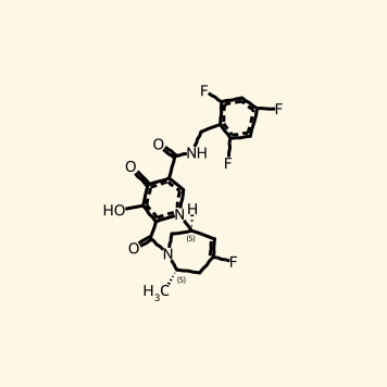 C[C@H]1CC(F)=C[C@H]2CN1C(=O)c1c(O)c(=O)c(C(=O)NCc3c(F)cc(F)cc3F)cn12